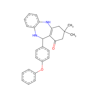 CC1(C)CC(=O)C2=C(C1)Nc1ccccc1NC2c1ccc(Oc2ccccc2)cc1